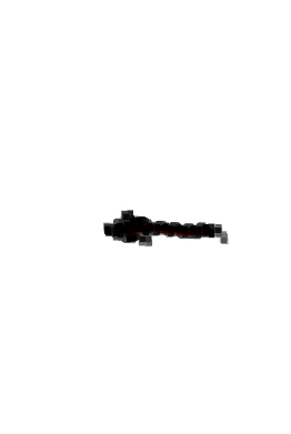 NCCOCCOCCOCCOCCOCCOCCOCCOCCC(=O)NC(CCC(=O)NC(CCC(=O)O)C(=O)O)C(=O)O